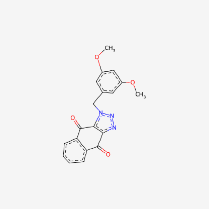 COc1cc(Cn2nnc3c2C(=O)c2ccccc2C3=O)cc(OC)c1